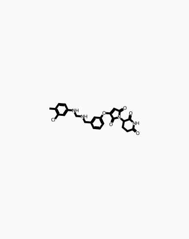 Cc1ccc(NCNCc2cccc(OC3=CC(=O)N(C4CCC(=O)NC4=O)C3=O)c2)cc1Cl